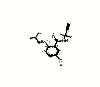 C#CC(C)(C)NC(=O)c1cc(F)cnc1NCC(C)C